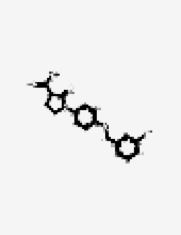 O=C(O)C1CCN(c2ccc(OCc3cccc(F)c3)cc2)C1=O